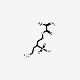 C=C(C)C(=O)OCCC(CCC)S(=O)(=O)O